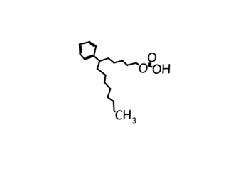 CCCCCCCCC(CCCCCOC(=O)O)c1ccccc1